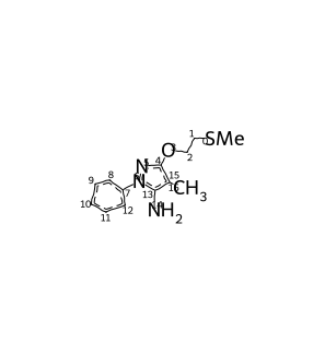 CSCCOc1nn(-c2ccccc2)c(N)c1C